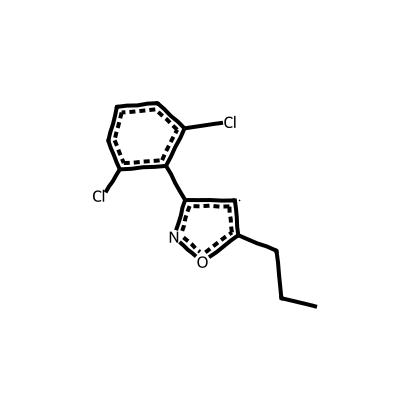 CCCc1[c]c(-c2c(Cl)cccc2Cl)no1